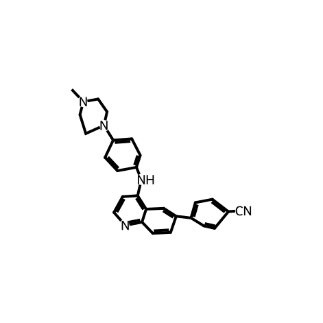 CN1CCN(c2ccc(Nc3ccnc4ccc(-c5ccc(C#N)cc5)cc34)cc2)CC1